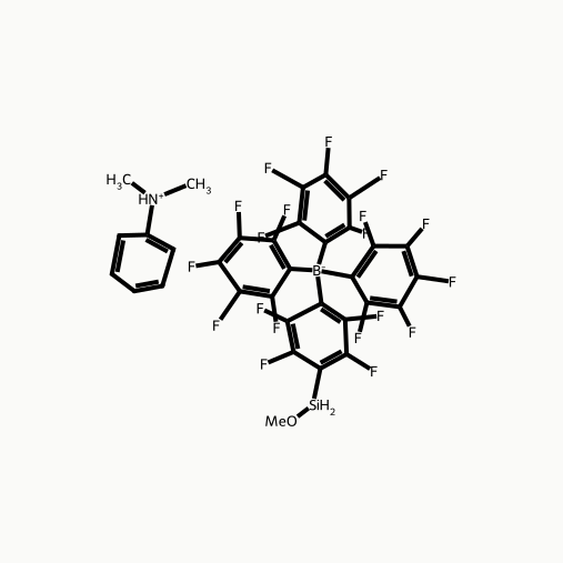 CO[SiH2]c1c(F)c(F)c([B-](c2c(F)c(F)c(F)c(F)c2F)(c2c(F)c(F)c(F)c(F)c2F)c2c(F)c(F)c(F)c(F)c2F)c(F)c1F.C[NH+](C)c1ccccc1